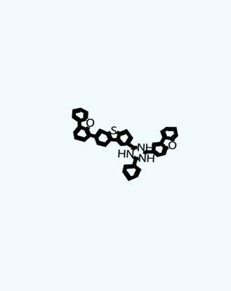 c1ccc(C2NC(c3ccc4oc5ccccc5c4c3)NC(c3ccc4sc5cc(-c6cccc7c6oc6ccccc67)ccc5c4c3)N2)cc1